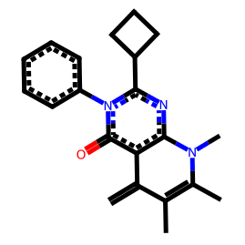 C=C1C(C)=C(C)N(C)c2nc(C3CCC3)n(-c3ccccc3)c(=O)c21